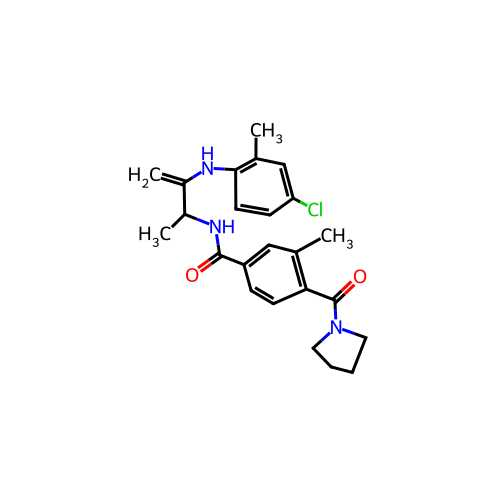 C=C(Nc1ccc(Cl)cc1C)C(C)NC(=O)c1ccc(C(=O)N2CCCC2)c(C)c1